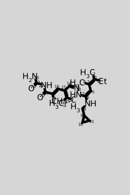 CC/C(C)=C(C)\C=C(\NCC1CC1)N/N=C\C(/C=C(\C)C(=O)NC(N)=O)=C(C)C